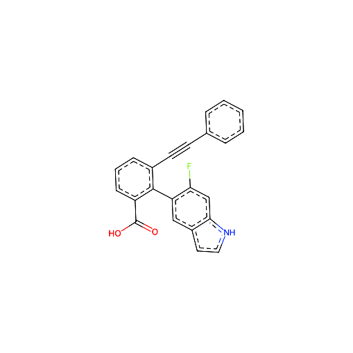 O=C(O)c1cccc(C#Cc2ccccc2)c1-c1cc2cc[nH]c2cc1F